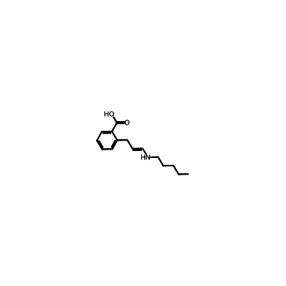 CCCCCNC=CCc1ccccc1C(=O)O